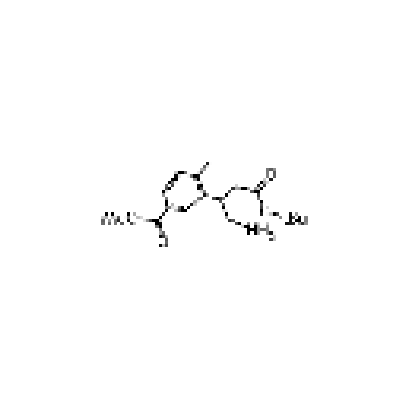 COC(=O)c1ccc(C)c(C(CN)CC(=O)OC(C)(C)C)c1